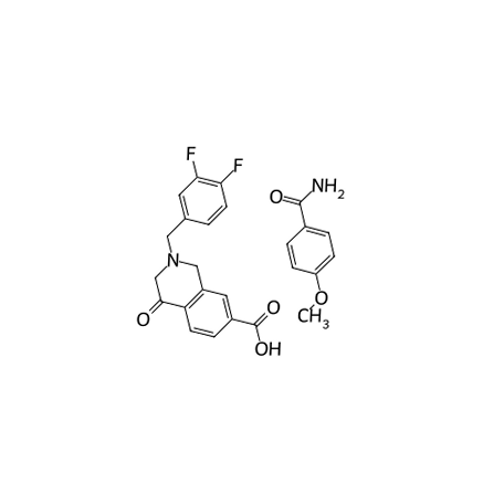 COc1ccc(C(N)=O)cc1.O=C(O)c1ccc2c(c1)CN(Cc1ccc(F)c(F)c1)CC2=O